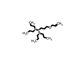 C=CCOCCCP(N(CCC)CCC)N(CCC)CCC